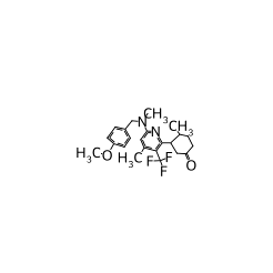 COc1ccc(CN(C)c2cc(C)c(C(F)(F)F)c(C3CC(=O)CCC3C)n2)cc1